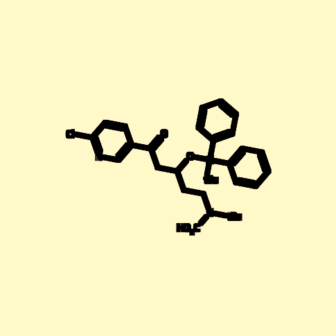 CC(C)(C)N(CCC(CC(=O)c1ccc(Cl)nc1)O[Si](c1ccccc1)(c1ccccc1)C(C)(C)C)C(=O)O